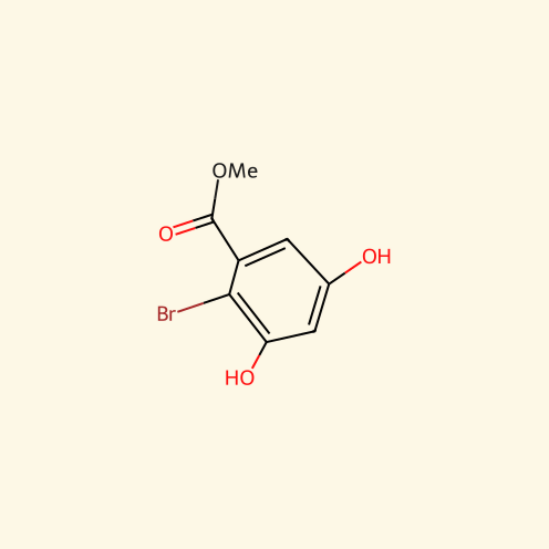 COC(=O)c1cc(O)cc(O)c1Br